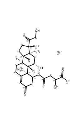 C[C@]12C[C@H](O)[C@H]3[C@@H](CCC4=CC(=O)CC(OC(=S)CC(O)C(=O)[O-])[C@@]43C)[C@@H]1CC[C@]2(O)C(=O)CO.[Na+]